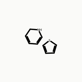 C1=CCNC=C1.c1ccsc1